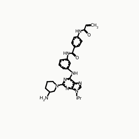 C=CC(=O)Nc1ccc(C(=O)Nc2cccc(Nc3nc(N4CCCC(N)C4)nc4c3ncn4C(C)C)c2)cc1